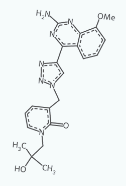 COc1cccc2c(-c3cn(Cc4cccn(CC(C)(C)O)c4=O)nn3)nc(N)nc12